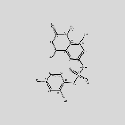 CCN1C(=O)CC(C)c2cc(NS(=O)(=O)Cc3ccc(C)cc3F)cc(F)c21